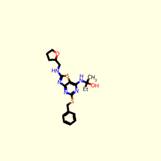 CCC(C)(O)Nc1nc(SCc2ccccc2)nc2nc(NCC3CCCO3)sc12